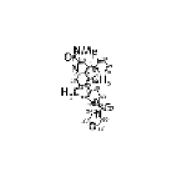 CNC(=O)c1cc(-c2ccccc2F)c2c(C)c(C3=CCN([S+]([O-])N4CCOCC4)CC3)c(C)cc2n1